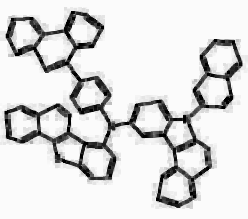 c1ccc2cc(-n3c4ccc(N(c5ccc(-c6cc7ccccc7c7ccccc67)cc5)c5cccc6sc7c8ccccc8ccc7c56)cc4c4c5ccccc5ccc43)ccc2c1